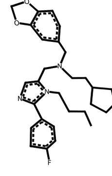 CCCCn1c(CN(CCC2CCCC2)Cc2ccc3c(c2)OCO3)cnc1-c1ccc(F)cc1